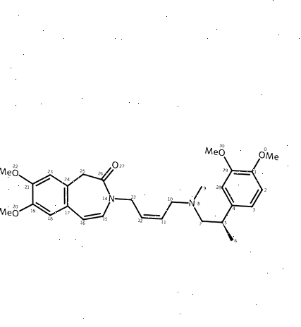 COc1ccc([C@@H](C)CN(C)C/C=C\CN2C=Cc3cc(OC)c(OC)cc3CC2=O)cc1OC